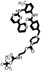 Cc1ccc(NC(=O)c2ccc(CN3CCN(C(=O)OCCNC(=O)OC(C)(C)C)CC3)cc2)cc1Nc1nccc(-c2cccnc2)n1